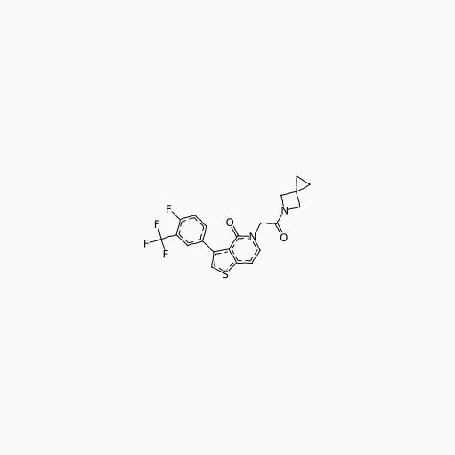 O=C(Cn1ccc2scc(-c3ccc(F)c(C(F)(F)F)c3)c2c1=O)N1CC2(CC2)C1